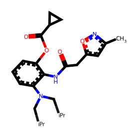 Cc1cc(CC(=O)Nc2c(OC(=O)C3CC3)cccc2N(CC(C)C)CC(C)C)on1